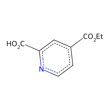 CCOC(=O)c1ccnc(C(=O)O)c1